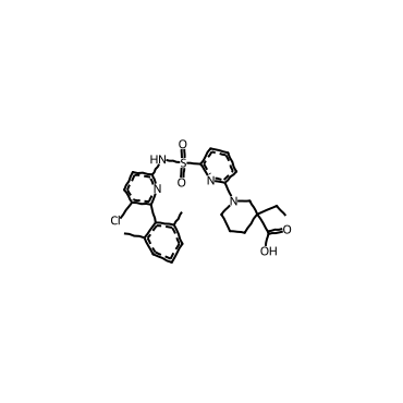 CCC1(C(=O)O)CCCN(c2cccc(S(=O)(=O)Nc3ccc(Cl)c(-c4c(C)cccc4C)n3)n2)C1